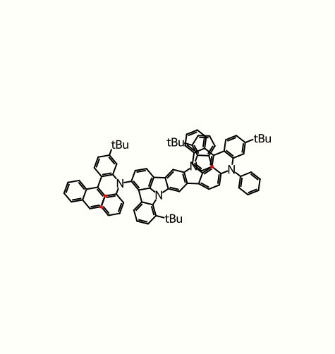 CC(C)(C)c1ccc(-c2cccc3ccccc23)c(N(c2ccccc2)c2ccc3c4cc5c(cc4n4c6c(C(C)(C)C)cccc6c2c34)c2ccc(N(c3ccccc3)c3cc(C(C)(C)C)ccc3-c3cccc4ccccc34)c3c4cccc(C(C)(C)C)c4n5c23)c1